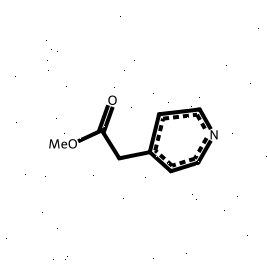 [CH2]OC(=O)Cc1ccncc1